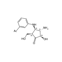 CC(=O)c1cccc(N[C@H]2[C@H](N)[C@@H](O)C(=O)[C@H]2CO)c1